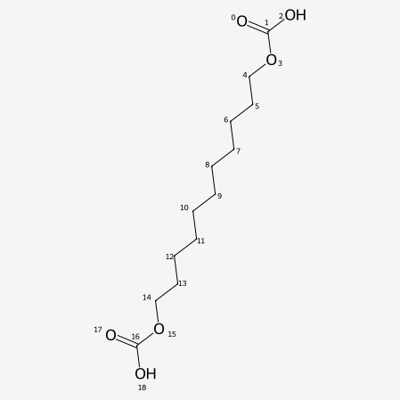 O=C(O)OCCCCCCCCCCCOC(=O)O